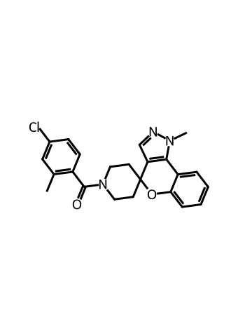 Cc1cc(Cl)ccc1C(=O)N1CCC2(CC1)Oc1ccccc1-c1c2cnn1C